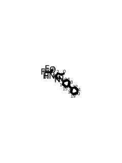 CC1CC(NC(=O)C(F)(F)F)=NN1c1ccc(-c2ccccc2)cc1